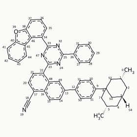 C[C@@H]1C[C@@H]2C[C@H](C)CC(c3ccc(-c4ccc5c(C#N)ccc(-c6nc(-c7ccccc7)nc(-c7cccc8oc9ccccc9c78)n6)c5c4)cc3)(C1)C2